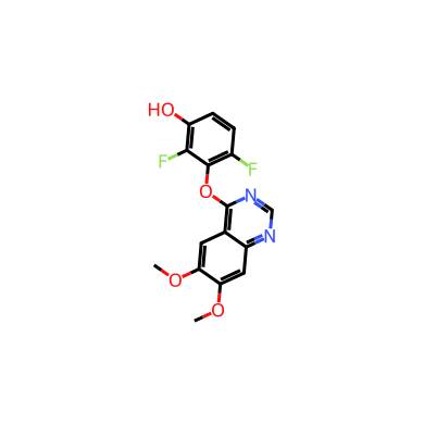 COc1cc2ncnc(Oc3c(F)ccc(O)c3F)c2cc1OC